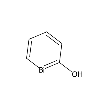 O[C]1=[Bi][CH]=CC=C1